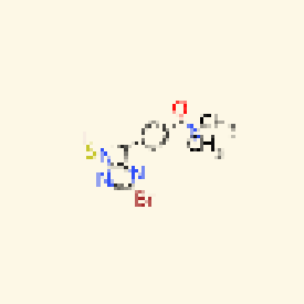 CN(C)C(=O)c1ccc(-c2cn(SI)c3ncc(Br)nc23)cc1